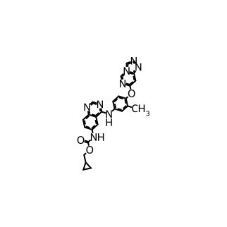 Cc1cc(Nc2ncnc3ccc(NC(=O)OCC4CC4)cc23)ccc1Oc1cc2nncn2cn1